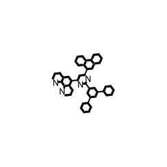 c1ccc(-c2cc(-c3ccccc3)cc(-c3nc(-c4cc5ccccc5c5ccccc45)cc(-c4cc5cccnc5c5ncccc45)n3)c2)cc1